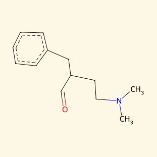 CN(C)CCC(C=O)Cc1ccccc1